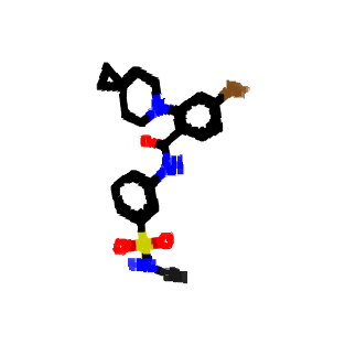 CC(C)(C)NS(=O)(=O)c1cccc(NC(=O)c2ccc(Br)cc2N2CCC3(CC2)CC3)c1